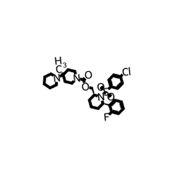 CC1(N2CCCCC2)CCN(C(=O)OC[C@@H]2CCC[C@H](c3ccccc3F)N2S(=O)(=O)c2ccc(Cl)cc2)CC1